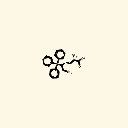 CCC(SC[C@H](N)C(=O)O)[Si](c1ccccc1)(c1ccccc1)c1ccccc1